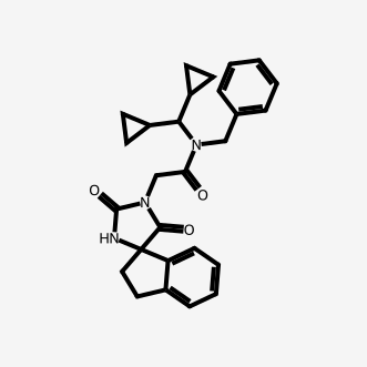 O=C1NC2(CCc3ccccc32)C(=O)N1CC(=O)N(Cc1ccccc1)C(C1CC1)C1CC1